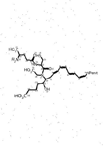 CCCCC\C=C/C=C/C=C\C=CC[C@@H]([C@@H](O)CCCC(=O)O)N(CC(=O)O)C(=O)C(CS)NC(=O)CCC(N)C(=O)O